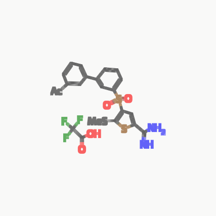 CSc1sc(C(=N)N)cc1S(=O)(=O)c1cccc(-c2cccc(C(C)=O)c2)c1.O=C(O)C(F)(F)F